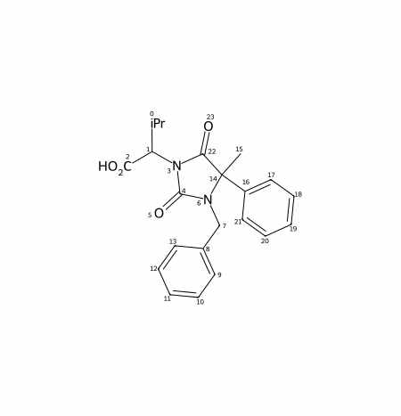 CC(C)C(C(=O)O)N1C(=O)N(Cc2ccccc2)C(C)(c2ccccc2)C1=O